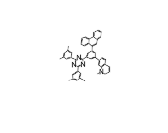 Cc1cc(C)cc(-c2nc(-c3cc(C)cc(C)c3)nc(-c3cc(-c4ccc5c(c4)N(C)CC=C5)cc(-c4cc5ccccc5c5ccccc45)c3)n2)c1